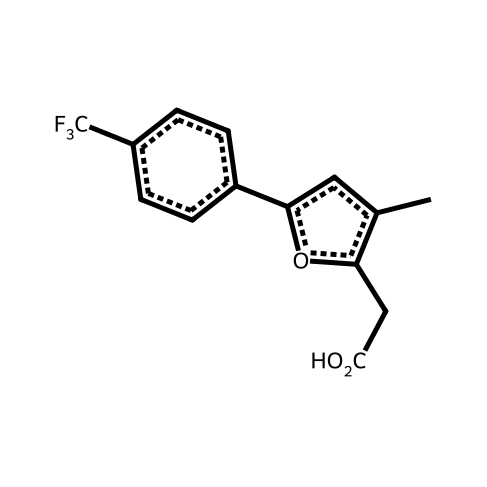 Cc1cc(-c2ccc(C(F)(F)F)cc2)oc1CC(=O)O